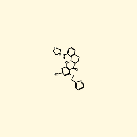 O=C(c1c(O)cc(O)cc1OCc1ccccn1)N1CCc2cccc(N[C@@H]3CCOC3)c2C1